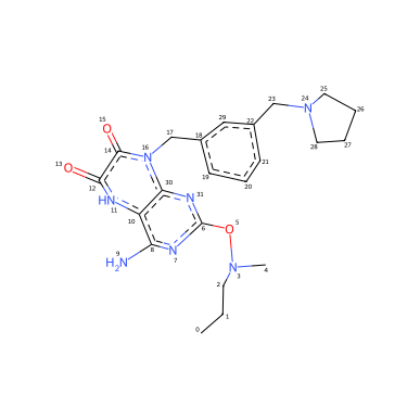 CCCN(C)Oc1nc(N)c2[nH]c(=O)c(=O)n(Cc3cccc(CN4CCCC4)c3)c2n1